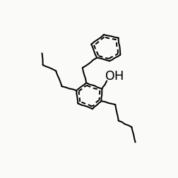 CCCCc1ccc(CCCC)c(Cc2ccccc2)c1O